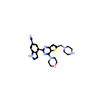 N#Cc1cc(-c2nc(N3CCOCC3)c3sc(CN4CCNCC4)cc3n2)c2cc[nH]c2c1